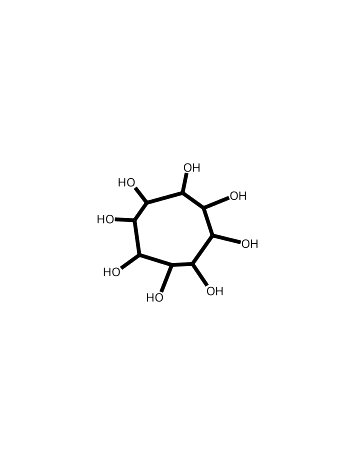 OC1C(O)C(O)C(O)C(O)C(O)C(O)C1O